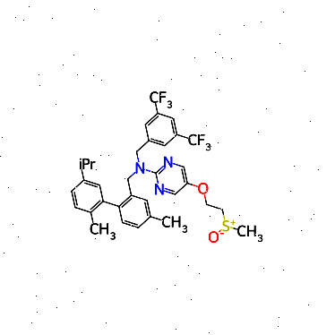 Cc1ccc(-c2cc(C(C)C)ccc2C)c(CN(Cc2cc(C(F)(F)F)cc(C(F)(F)F)c2)c2ncc(OCC[S+](C)[O-])cn2)c1